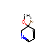 COC1(Br)C=CC=NC1